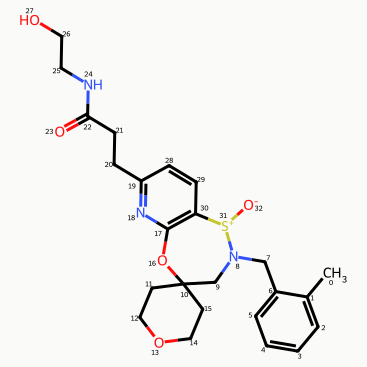 Cc1ccccc1CN1CC2(CCOCC2)Oc2nc(CCC(=O)NCCO)ccc2[S+]1[O-]